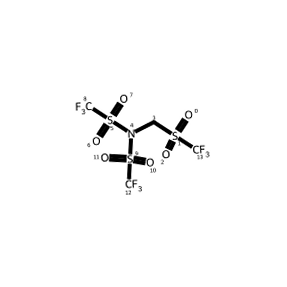 O=S(=O)(CN(S(=O)(=O)C(F)(F)F)S(=O)(=O)C(F)(F)F)C(F)(F)F